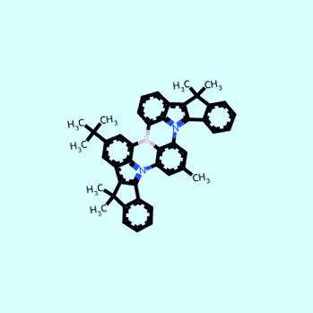 Cc1cc2c3c(c1)-n1c4c(c5cc(C(C)(C)C)cc(c51)B3c1cccc3c5c(n-2c13)-c1ccccc1C5(C)C)C(C)(C)c1ccccc1-4